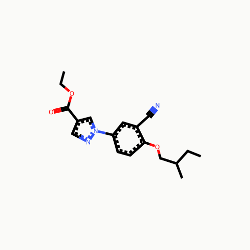 CCOC(=O)c1cnn(-c2ccc(OCC(C)CC)c(C#N)c2)c1